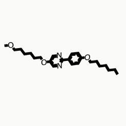 CCCCCCCOc1ccc(-c2ncc(OCCCCCCOC)cn2)cc1